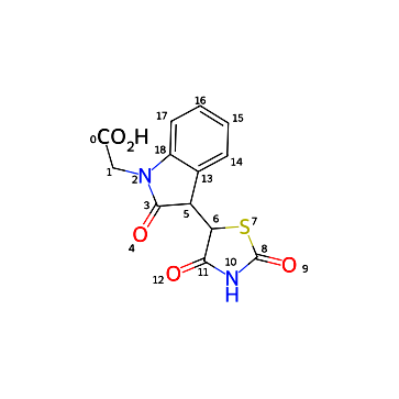 O=C(O)CN1C(=O)C(C2SC(=O)NC2=O)c2ccccc21